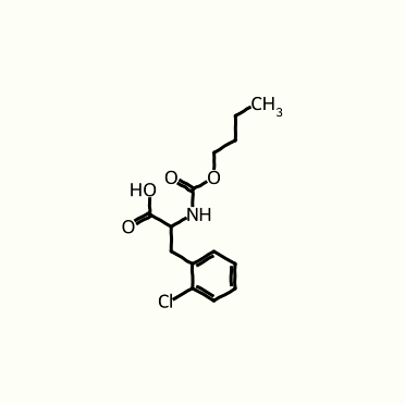 CCCCOC(=O)NC(Cc1ccccc1Cl)C(=O)O